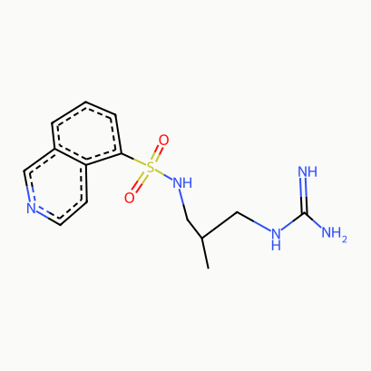 CC(CNC(=N)N)CNS(=O)(=O)c1cccc2cnccc12